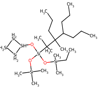 CCC[C](CCC)C(C)(CCC)C(C)(C)[Si](O[SiH]1[SiH2][SiH2][SiH2]1)(O[Si](C)(C)C)O[Si](C)(C)CC